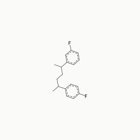 CC(CCC(C)c1cccc(F)c1)c1ccc(F)cc1